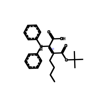 CCCC/C(C(=O)OC(C)(C)C)=C(/C(=O)O)[SiH](c1ccccc1)c1ccccc1